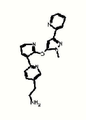 Cn1nc(-c2ccccn2)cc1Oc1ncccc1-c1ccc(CCN)cn1